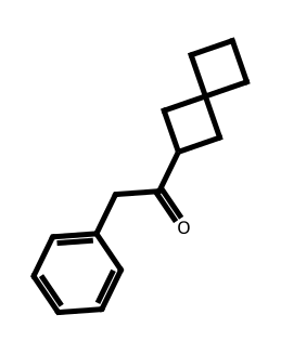 O=C(Cc1ccccc1)C1CC2(CCC2)C1